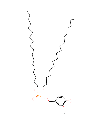 CCCCCCCCCCCCCCCCCCOP(=O)(OCCCCCCCCCCCCCCCCCC)OOCc1ccc(OC)c(OC)c1